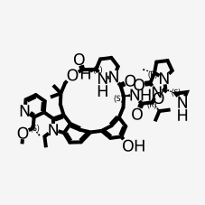 CCn1c(-c2cccnc2[C@H](C)OC)c2c3cc(ccc31)-c1cc(O)cc(c1)C[C@H](NC(=O)[C@@H](C(C)C)N(C)C(=O)[C@@]1(C)CCCN1C(=O)[C@@H]1CN1)C(=O)N1CCC[C@H](N1)C(=O)OCC(C)(C)C2